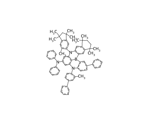 Cc1cc(-c2ccccc2)ccc1N1c2ccc(-c3ccccc3)cc2B2c3cc4c(cc3N(c3cc5c(cc3C)C(C)(C)CC5(C)C)c3cc(N(c5ccccc5)c5ccccc5)cc1c32)C(C)(C)CCC4(C)C